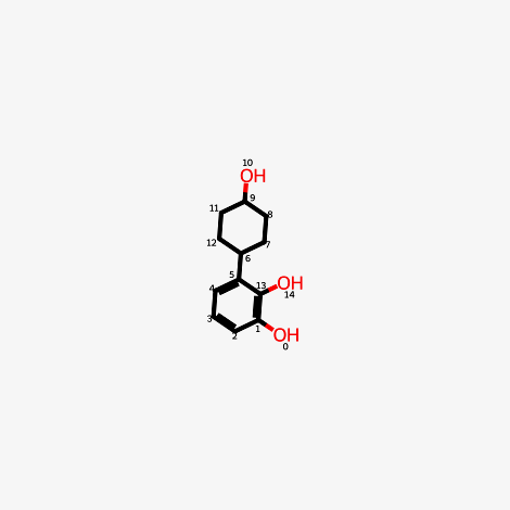 Oc1cccc(C2CCC(O)CC2)c1O